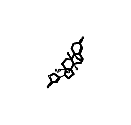 C[C@]12CC[C@H]3[C@@H](CCC4=CC(=O)CC[C@@]43CO)[C@@]1(O)CC[C@@H]2C1=CC(=O)OC1